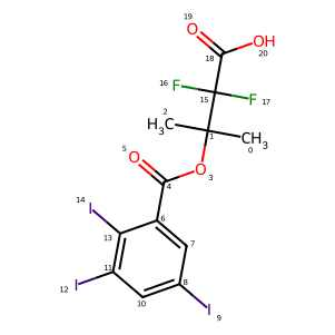 CC(C)(OC(=O)c1cc(I)cc(I)c1I)C(F)(F)C(=O)O